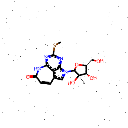 CSc1nc2c3c(cn(C4O[C@H](CO)[C@@H](O)[C@@]4(C)O)c3n1)C=CC(=O)N2